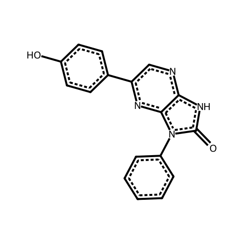 O=c1[nH]c2ncc(-c3ccc(O)cc3)nc2n1-c1ccccc1